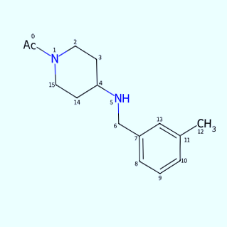 CC(=O)N1CCC(NCc2cccc(C)c2)CC1